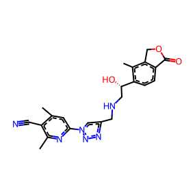 Cc1cc(-n2cc(CNC[C@H](O)c3ccc4c(c3C)COC4=O)nn2)nc(C)c1C#N